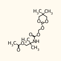 CC(=O)OCC(C)(C)NC(=O)OCOP1OCC(C)(C)CO1